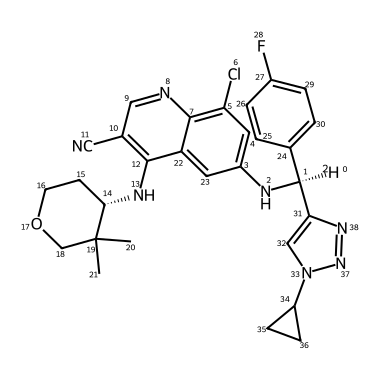 [2H][C@](Nc1cc(Cl)c2ncc(C#N)c(N[C@H]3CCOCC3(C)C)c2c1)(c1ccc(F)cc1)c1cn(C2CC2)nn1